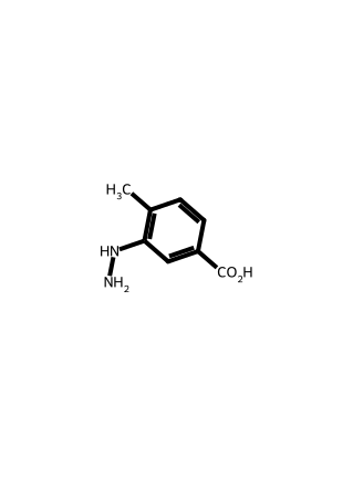 Cc1ccc(C(=O)O)cc1NN